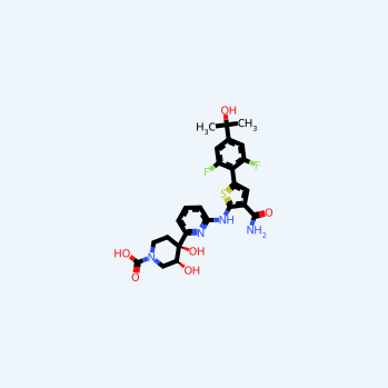 CC(C)(O)c1cc(F)c(-c2cc(C(N)=O)c(Nc3cccc([C@@]4(O)CCN(C(=O)O)C[C@@H]4O)n3)s2)c(F)c1